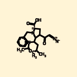 CC(=O)NC(CC(C)C)C1C(C(=O)C=[N+]=[N-])C[C@@H](C(=O)O)N1Cc1ccccc1